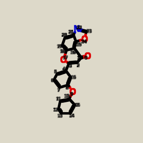 O=c1cc(-c2cccc(Oc3ccccc3)c2)oc2ccc3ncoc3c12